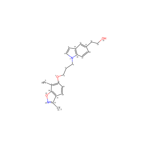 CCCc1c(OCCCn2ccc3cc(CCO)ccc32)ccc2c(C(F)(F)F)noc12